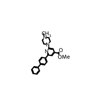 COC(=O)c1cc(-c2ccc(-c3ccccc3)cc2)nc(N2CCN(C)CC2)c1